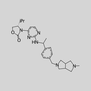 CC(Nc1nccc(N2C(=O)OC[C@@H]2C(C)C)n1)c1ccc(CN2CC3CN(C)CC3C2)cc1